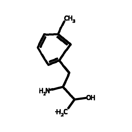 [CH2]C(O)C(N)Cc1cccc(C)c1